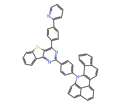 c1ccc(-c2ccc(-c3nc(-c4ccc(N5c6c(ccc7ccccc67)-c6cccc7cccc5c67)cc4)nc4c3sc3ccccc34)cc2)nc1